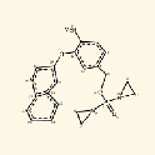 CNc1ccc(COP(=O)(N2CC2)N2CC2)cc1Oc1cnc2ccccc2c1